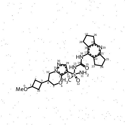 COC1CC(C2COc3c(S(C)(N)(=O)NC(=O)Nc4c5c(nc6c4CCC6)CCC5)cnn3C2)C1